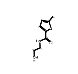 Cc1ccc(C(=O)NCCO)s1